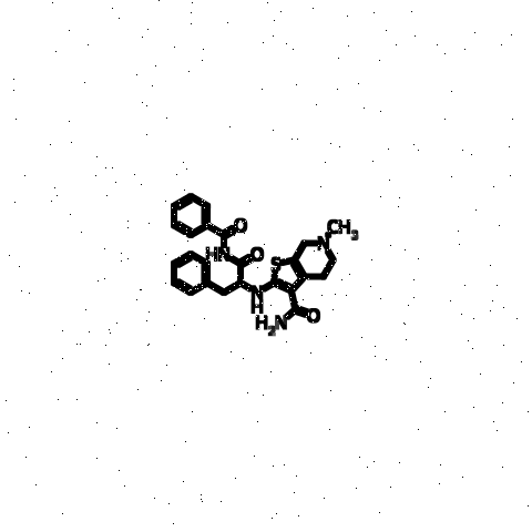 CN1CCc2c(sc(NC(Cc3ccccc3)C(=O)NC(=O)c3ccccc3)c2C(N)=O)C1